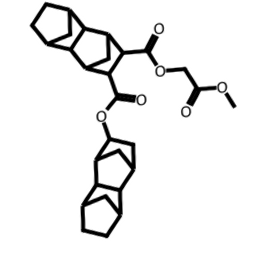 COC(=O)COC(=O)C1C2CC(C1C(=O)OC1CC3CC1C1C4CCC(C4)C31)C1C3CCC(C3)C21